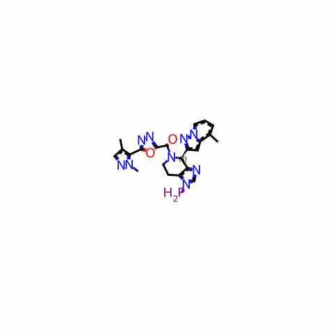 Cc1cnn(C)c1-c1nnc(C(=O)N2CCc3c(ncn3P)[C@@H]2c2cc3c(C)cccn3n2)o1